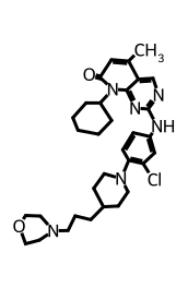 Cc1cc(=O)n(C2CCCCC2)c2nc(Nc3ccc(N4CCC(CCCN5CCOCC5)CC4)c(Cl)c3)ncc12